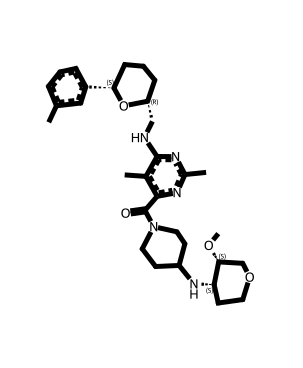 CO[C@@H]1COCC[C@@H]1NC1CCN(C(=O)c2nc(C)nc(NC[C@H]3CCC[C@@H](c4cccc(C)c4)O3)c2C)CC1